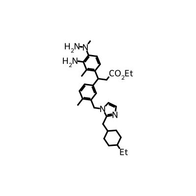 CCOC(=O)CC(c1ccc(C)c(Cn2ccnc2CC2CCC(CC)CC2)c1)c1ccc(N(C)N)c(N)c1C